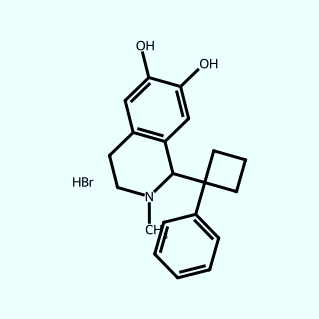 Br.CN1CCc2cc(O)c(O)cc2C1C1(c2ccccc2)CCC1